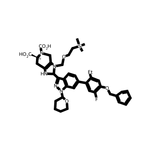 CCc1cc(OCc2ccccc2)c(F)cc1-c1ccc2c(C3NC4=C(CN(C(=O)O)[C@H](C(=O)O)C4)N3COCC[Si](C)(C)C)nn(C3CCCCO3)c2c1